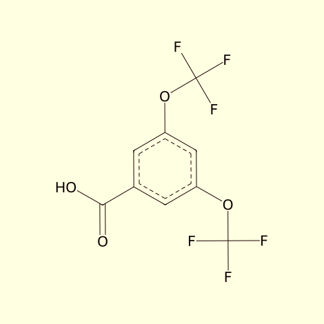 O=C(O)c1cc(OC(F)(F)F)cc(OC(F)(F)F)c1